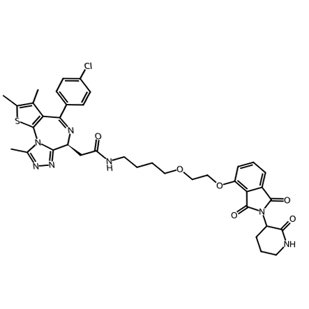 Cc1sc2c(c1C)C(c1ccc(Cl)cc1)=N[C@@H](CC(=O)NCCCCOCCOc1cccc3c1C(=O)N(C1CCCNC1=O)C3=O)c1nnc(C)n1-2